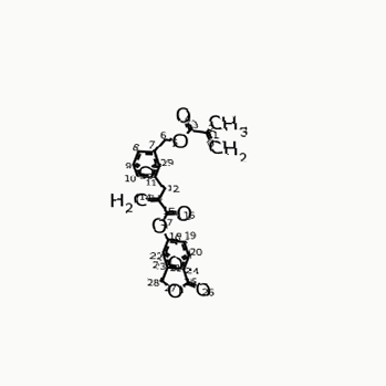 C=C(C)C(=O)OCc1cc2cc(CC(=C)C(=O)Oc3cc4oc3c3c4C(=O)OC3)c1o2